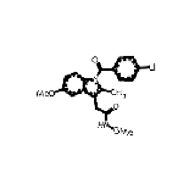 CONC(=O)Cc1c(C)n(C(=O)c2ccc(Cl)cc2)c2ccc(OC)cc12